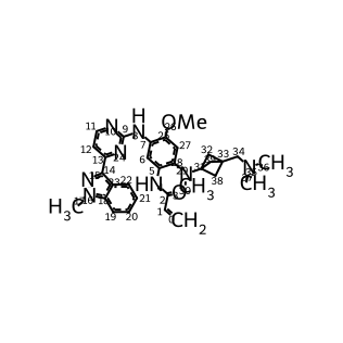 C=CC(=O)Nc1cc(Nc2nccc(-c3nn(C)c4ccccc34)n2)c(OC)cc1N(C)C12CC(CN(C)C)(C1)C2